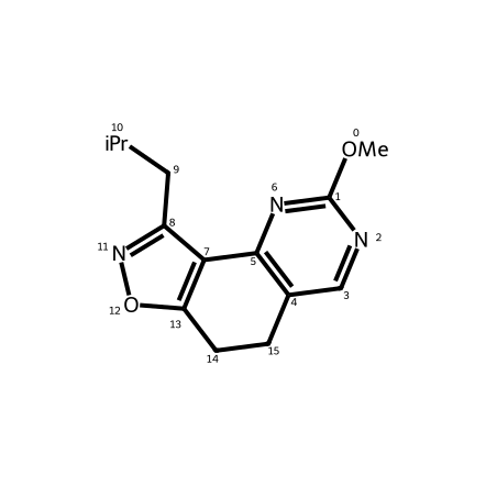 COc1ncc2c(n1)-c1c(CC(C)C)noc1CC2